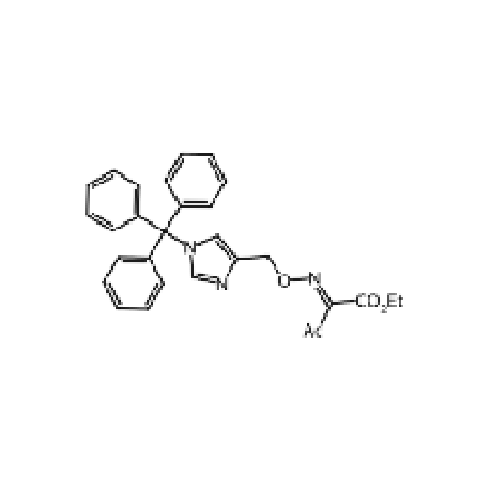 CCOC(=O)C(=NOCc1cn(C(c2ccccc2)(c2ccccc2)c2ccccc2)cn1)C(C)=O